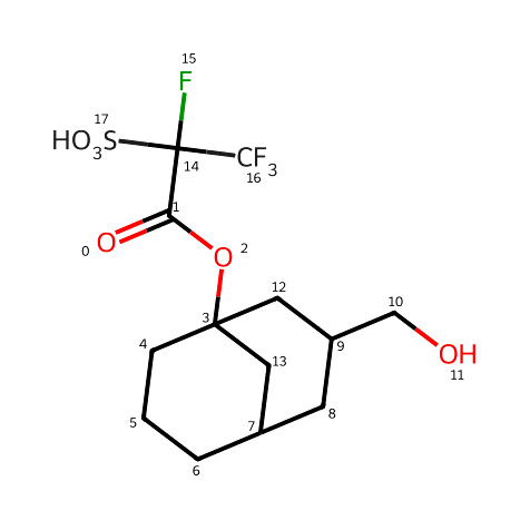 O=C(OC12CCCC(CC(CO)C1)C2)C(F)(C(F)(F)F)S(=O)(=O)O